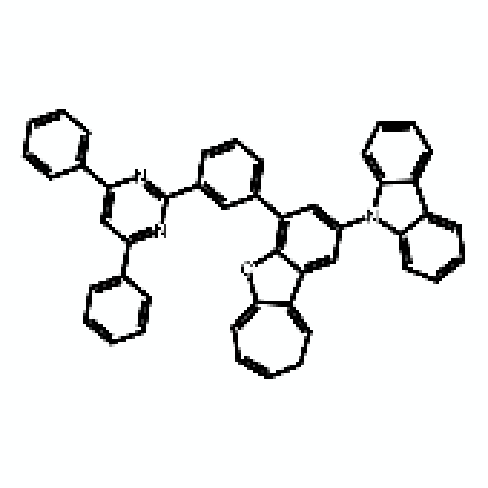 C1=CCC=c2c(oc3c(-c4cccc(-c5nc(-c6ccccc6)cc(-c6ccccc6)n5)c4)cc(-n4c5ccccc5c5ccccc54)cc23)=C1